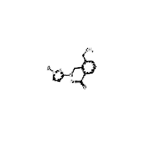 CCc1cccc(C(=O)Br)c1COc1ccn(O)n1